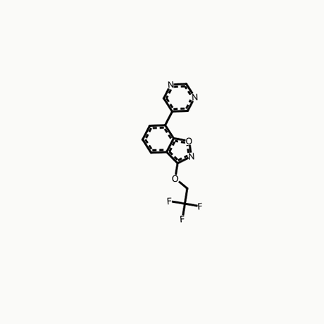 FC(F)(F)COc1noc2c(-c3cncnc3)cccc12